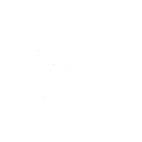 COC[C@]1(C)CN(C(=O)OC(C)(C)C)c2c(C#N)cc(Br)cc21